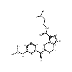 CN(C)CCNC(=O)c1noc2c1CN(C(=O)c1cccc(SC(F)F)c1)CC2